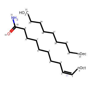 CCCCCCCC/C=C\CCCCCCCC(N)=O.CCCCCCCCCCCCCCCCCC(=O)O